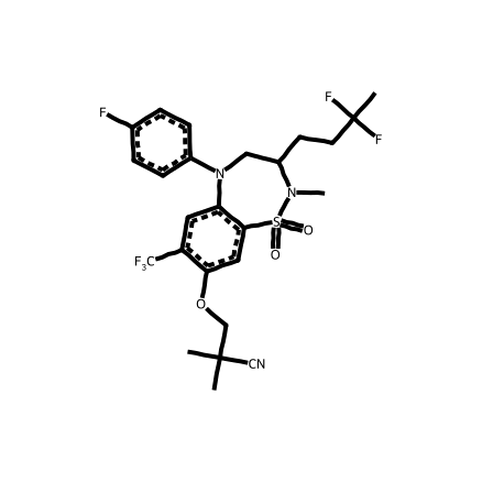 CN1C(CCC(C)(F)F)CN(c2ccc(F)cc2)c2cc(C(F)(F)F)c(OCC(C)(C)C#N)cc2S1(=O)=O